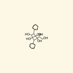 OC[C@@H](O)[C@]1(O)C(c2ccccc2)[C@]2(O)C(O)C(c3ccccc3)[C@@]21O